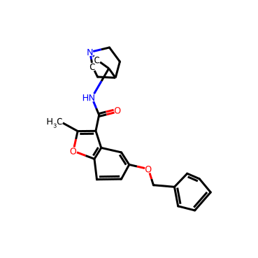 Cc1oc2ccc(OCc3ccccc3)cc2c1C(=O)NC1CN2CCC1CC2